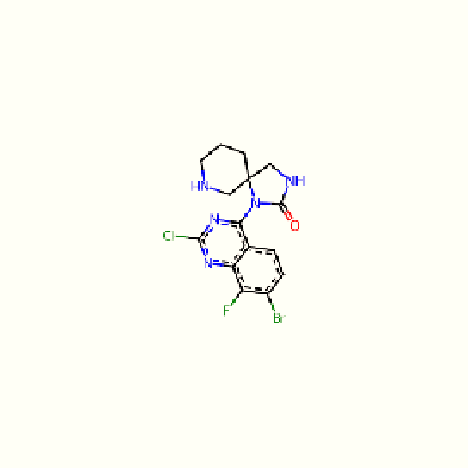 O=C1NCC2(CCCNC2)N1c1nc(Cl)nc2c(F)c(Br)ccc12